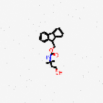 CC(C)(CCO)NC(=O)OCC1c2ccccc2-c2ccccc21